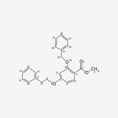 COC(=O)c1ccc(OCCc2ccccc2)cc1OCc1ccccc1